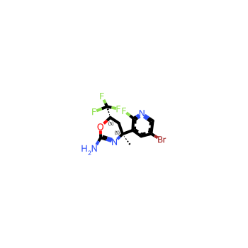 C[C@@]1(c2cc(Br)cnc2F)C[C@@H](C(F)(F)F)OC(N)=N1